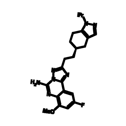 COc1cc(F)cc2c1nc(N)n1nc(CC[C@H]3CCc4c(cnn4C(C)C)C3)nc21